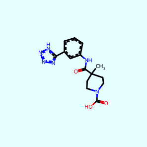 CC1(C(=O)Nc2cccc(-c3nnn[nH]3)c2)CCN(C(=O)O)CC1